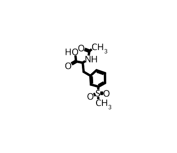 CC(=O)NC(Cc1cccc(S(C)(=O)=O)c1)C(=O)O